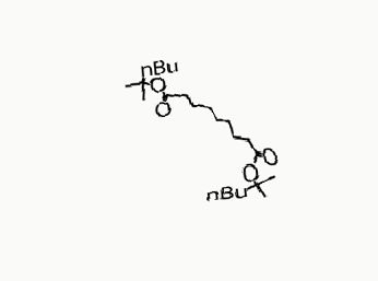 CCCCC(C)(C)OC(=O)CCCCCCCC(=O)OC(C)(C)CCCC